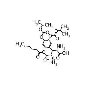 CCCCCC(=O)OC(C)C(C)C(c1ccc(OC(=O)OC(C)C)c(OC(=O)OC(C)C)c1)[C@H](N)C(=O)O